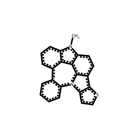 Cn1c2cccc3c4ccccc4n4c5ccsc5c5ccc1c(c32)c54